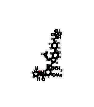 COc1cc(C(=O)N2C[C@H]3CC[C@@H]2[C@@H]3N)cc2nc(-c3cc4ccc(-c5ccc(CNS(C)(=O)=O)cc5)cc4n3CC3CC3)n(C)c12